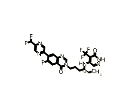 CC[C@@H](CCCn1cnc2cc(-c3cnc(C(F)F)cn3)c(F)cc2c1=O)Nc1cn[nH]c(=O)c1C(F)(F)F